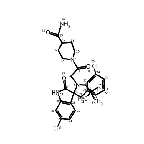 CC(C)(C)CN(CC(=O)N1CCC(C(N)=O)CC1)C1(Cc2cccc(Cl)c2)C(=O)Nc2cc(Cl)ccc21